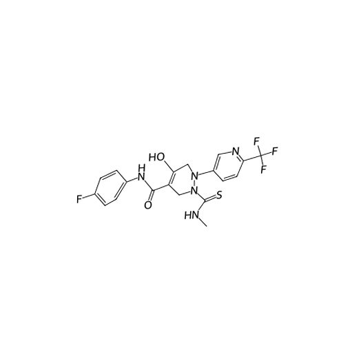 CNC(=S)N1CC(C(=O)Nc2ccc(F)cc2)=C(O)CN1c1ccc(C(F)(F)F)nc1